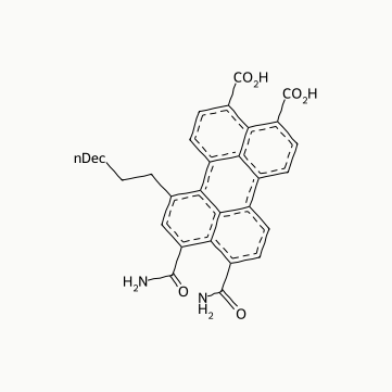 CCCCCCCCCCCCc1cc(C(N)=O)c2c(C(N)=O)ccc3c4ccc(C(=O)O)c5c(C(=O)O)ccc(c1c23)c54